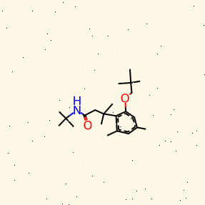 Cc1cc(C)c(C(C)(C)CC(=O)NC(C)(C)C)c(OCC(C)(C)C)c1